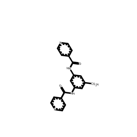 O=C(O)c1cc(NC(=O)c2ccncc2)cc(NC(=O)c2ccncc2)c1